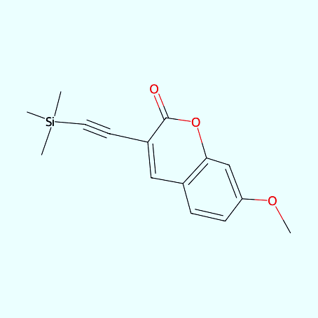 COc1ccc2cc(C#C[Si](C)(C)C)c(=O)oc2c1